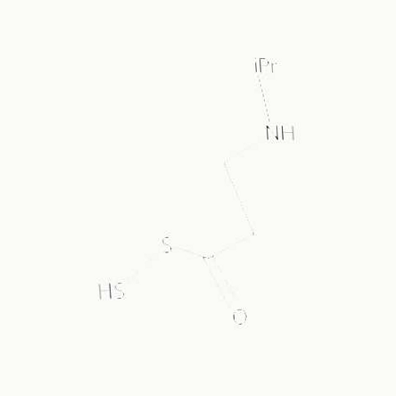 CC(C)NCCC(=O)SS